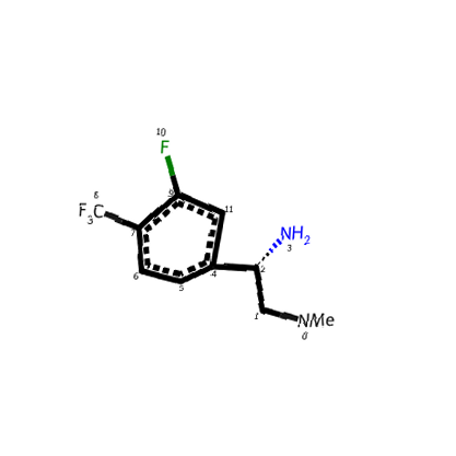 CNC[C@@H](N)c1ccc(C(F)(F)F)c(F)c1